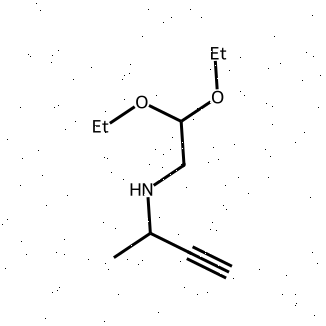 C#CC(C)NCC(OCC)OCC